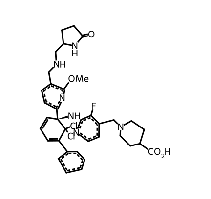 COc1nc([C@@]2(Nc3nccc(CN4CCC(C(=O)O)CC4)c3F)C=CC=C(c3ccccc3)C2(Cl)Cl)ccc1CNCC1CCC(=O)N1